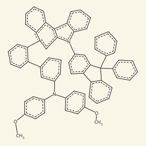 COc1ccc(N(c2ccc(OC)cc2)c2cccc(-c3ccccc3-c3cc4c(c5ccccc35)c3ccccc3n4-c3ccc4c(c3)C(c3ccccc3)(c3ccccc3)c3ccccc3-4)c2)cc1